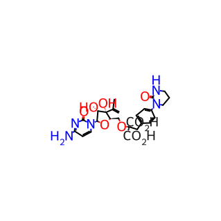 C=C(C)[C@@]1(O)[C@@H](COC(Cc2ccc(N3CCCNC3=O)cc2)(C(=O)O)C(=O)O)O[C@@H](n2ccc(N)nc2=O)[C@@H]1O